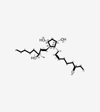 CCCCC[C@](C)(O)/C=C/[C@@H]1[C@@H](C/C=C\CCCC(=O)CC)[C@@H](O)C[C@H]1O